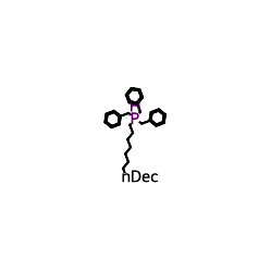 CCCCCCCCCCCCCCCCC[PH](Cc1ccccc1)(Cc1ccccc1)Cc1ccccc1